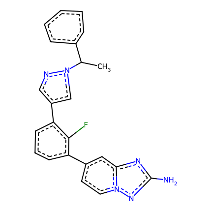 CC(c1ccccc1)n1cc(-c2cccc(-c3ccn4nc(N)nc4c3)c2F)cn1